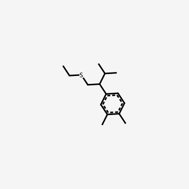 CCSCC(c1ccc(C)c(C)c1)C(C)C